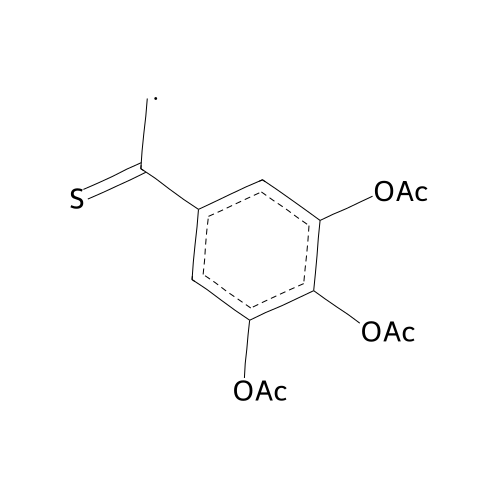 [CH2]C(=S)c1cc(OC(C)=O)c(OC(C)=O)c(OC(C)=O)c1